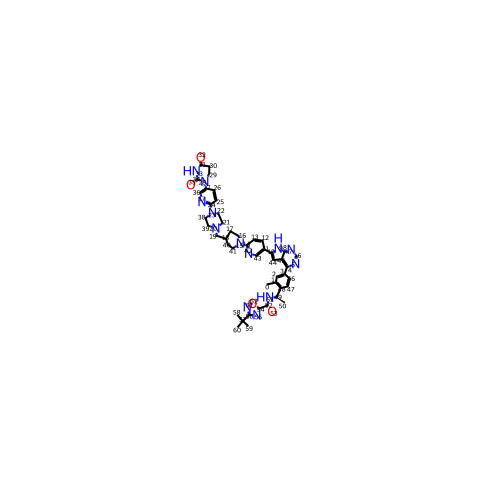 Cc1cc(-c2ncnc3[nH]c(-c4ccc(N5CCC(CN6CCN(c7ccc(N8CCC(=O)NC8=O)cn7)CC6)CC5)nc4)cc23)ccc1[C@@H](C)NC(=O)c1nc(C(C)(C)C)no1